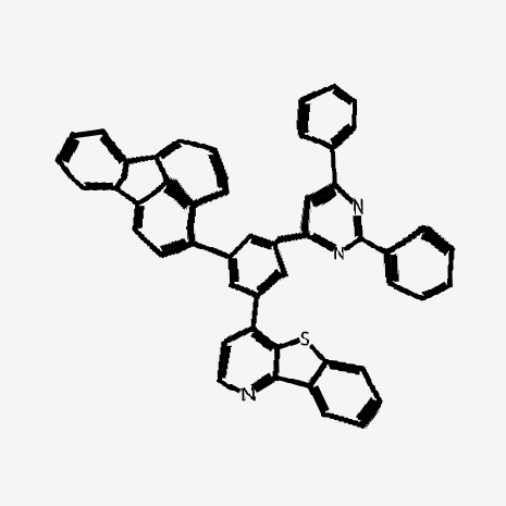 c1ccc(-c2cc(-c3cc(-c4ccc5c6c(cccc46)-c4ccccc4-5)cc(-c4ccnc5c4sc4ccccc45)c3)nc(-c3ccccc3)n2)cc1